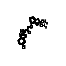 CC1(C)Cc2cccc(OCC(=O)Nc3nc4ccc(Cl)cc4s3)c2O1